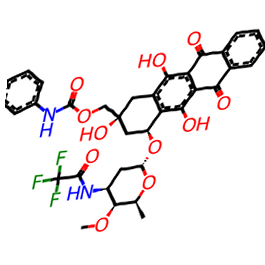 CO[C@H]1[C@@H](NC(=O)C(F)(F)F)C[C@H](O[C@H]2C[C@](O)(COC(=O)Nc3ccccc3)Cc3c(O)c4c(c(O)c32)C(=O)c2ccccc2C4=O)O[C@H]1C